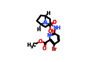 COC(=O)c1nc(N[C@@H]2C[C@H]3CC[C@@H](C2)N3C(=O)O)ccc1Br